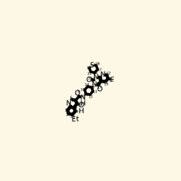 CCc1ccc2ncc(C(=O)N[C@H]3CC[C@@H](n4c(=O)c5cc(F)cnc5n(C5CCSCC5)c4=O)CC3)c(O)c2c1